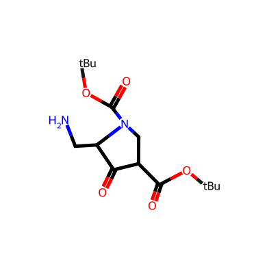 CC(C)(C)OC(=O)C1CN(C(=O)OC(C)(C)C)C(CN)C1=O